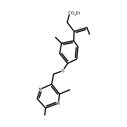 C/C=C(/CC(=O)OCC)c1ccc(OCc2ncc(C)nc2C)cc1C